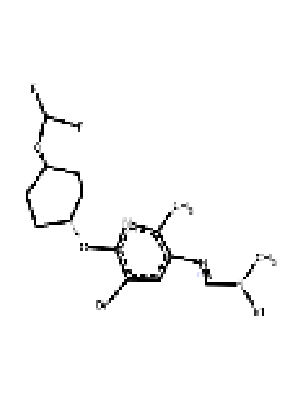 CCN(C)/C=N/c1cc(Br)c(O[C@H]2CC[C@H](OC(F)F)CC2)nc1C